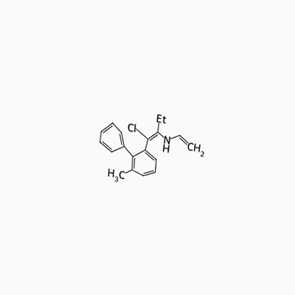 C=CN/C(CC)=C(/Cl)c1cccc(C)c1-c1ccccc1